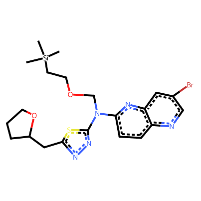 C[Si](C)(C)CCOCN(c1ccc2ncc(Br)cc2n1)c1nnc(CC2CCCO2)s1